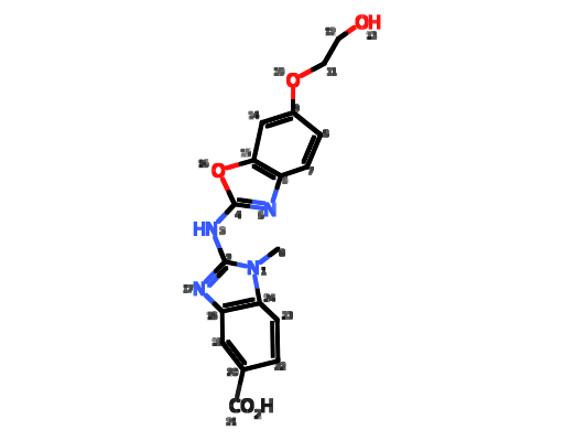 Cn1c(Nc2nc3ccc(OCCO)cc3o2)nc2cc(C(=O)O)ccc21